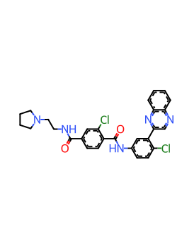 O=C(NCCN1CCCC1)c1ccc(C(=O)Nc2ccc(Cl)c(-c3cnc4ccccc4n3)c2)c(Cl)c1